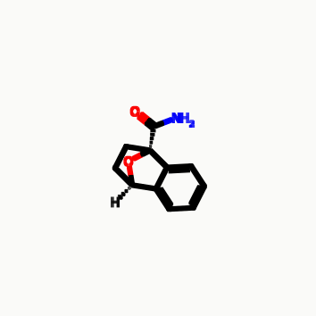 NC(=O)[C@@]12CC[C@@H](O1)c1ccccc12